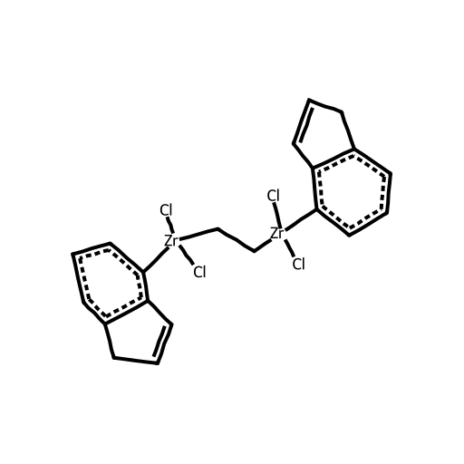 [Cl][Zr]([Cl])([CH2][CH2][Zr]([Cl])([Cl])[c]1cccc2c1C=CC2)[c]1cccc2c1C=CC2